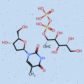 Cc1cn([C@H]2C[C@H](O)[C@@H](CO)O2)c(=O)[nH]c1=O.O=C[C@H](OP(=O)(O)OP(=O)(O)O)[C@@H](O)[C@H](O)[C@H](O)CO